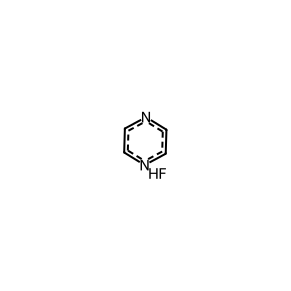 F.c1cnccn1